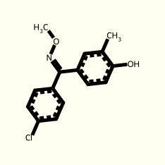 CON=C(c1ccc(Cl)cc1)c1ccc(O)c(C)c1